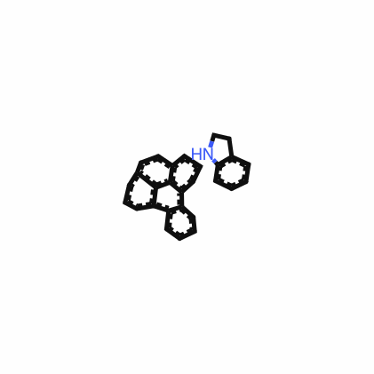 c1ccc2c(c1)CCN2.c1ccc2c(c1)c1cccc3ccc4cccc2c4c31